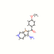 COc1ccc(C(=O)c2sc3cnccc3c2N)cc1